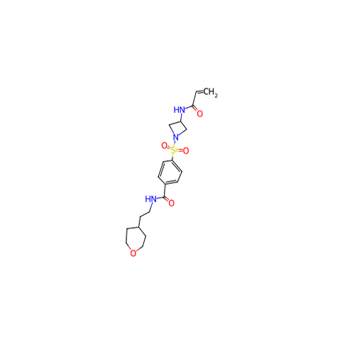 C=CC(=O)NC1CN(S(=O)(=O)c2ccc(C(=O)NCCC3CCOCC3)cc2)C1